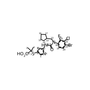 CC(C)(Sc1cnc(NC(=O)N(CC2CCCC2)c2ccc(Br)c(Cl)c2F)s1)C(=O)O